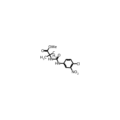 COC(=O)C(C)(C)NC(=O)Nc1ccc(Cl)c([N+](=O)[O-])c1